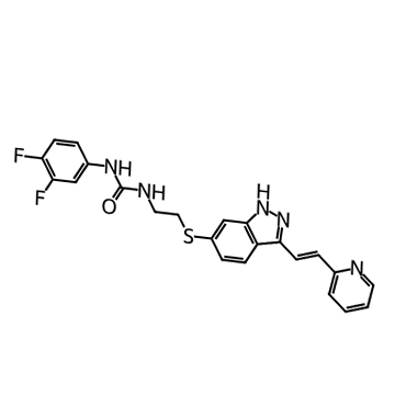 O=C(NCCSc1ccc2c(/C=C/c3ccccn3)n[nH]c2c1)Nc1ccc(F)c(F)c1